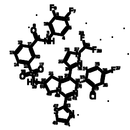 O=C(Nc1ccc(F)c(F)c1)c1cccc(S(=O)(=O)N[C@H]2CC3=C(c4ccn(C(F)F)n4)[C@H](c4ccc(F)cc4Cl)N=C(c4nccs4)N3C2)c1